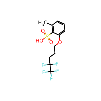 Cc1cccc(OCCCC(F)(F)C(F)(F)F)c1S(=O)(=O)O